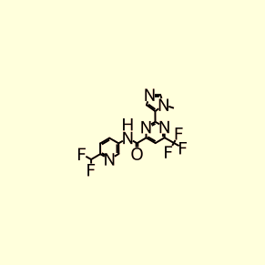 Cn1cncc1-c1nc(C(=O)Nc2ccc(C(F)F)nc2)cc(C(F)(F)F)n1